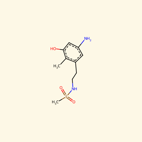 Cc1c(O)cc(N)cc1CCNS(C)(=O)=O